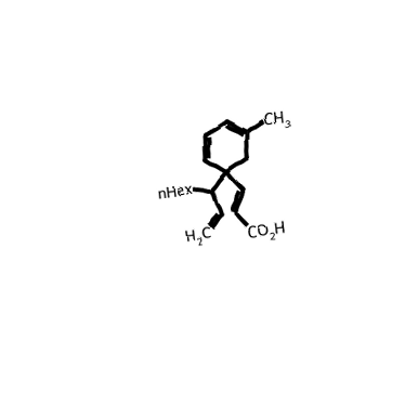 C=CC(CCCCCC)C1(C=CC(=O)O)C=CC=C(C)C1